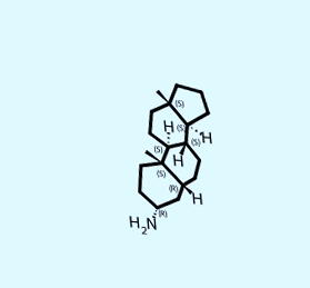 C[C@@]12CCC[C@H]1[C@@H]1CC[C@@H]3C[C@H](N)CC[C@]3(C)[C@H]1CC2